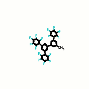 Cc1cc(-c2cc(-c3c(F)c(F)c(F)c(F)c3F)cc(-c3c(F)c(F)c(F)c(F)c3F)c2)cc(-c2c(F)c(F)c(F)c(F)c2F)c1